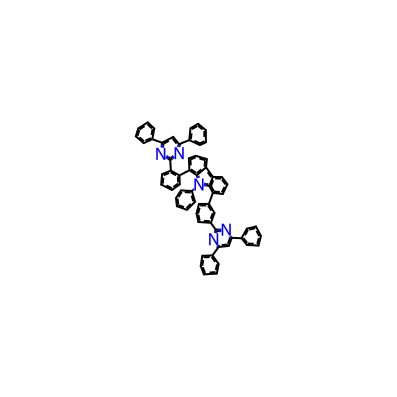 c1ccc(-c2cc(-c3ccccc3)nc(-c3cccc(-c4cccc5c6cccc(-c7ccccc7-c7nc(-c8ccccc8)cc(-c8ccccc8)n7)c6n(-c6ccccc6)c45)c3)n2)cc1